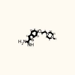 CN1CCN(CCOc2ccc3cc(C(=N)N)sc3c2)CC1